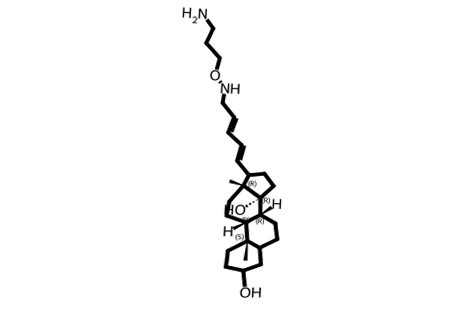 C[C@]12CCC(O)CC1CC[C@@H]1[C@H]2CC[C@]2(C)C(C=CC=CCNOCCCN)CC[C@@]12O